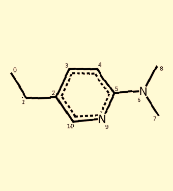 C[CH]c1ccc(N(C)C)nc1